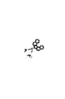 C=CC(=O)OCCOC1(OCCOC(=O)C=C)c2ccc3ccccc3c2-c2c1ccc1ccccc21